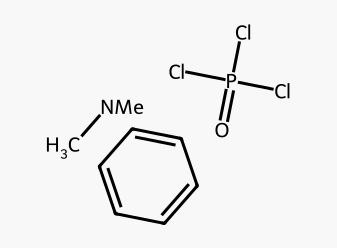 CNC.O=P(Cl)(Cl)Cl.c1ccccc1